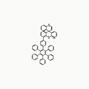 c1ccc(-c2c(-c3ccccc3)c(-c3ccccc3)c(-c3ccc(-c4cccc5c4Sc4ncccc4C54c5ccccc5Sc5ccccc54)cc3)c(-c3ccccc3)c2-c2ccccc2)cc1